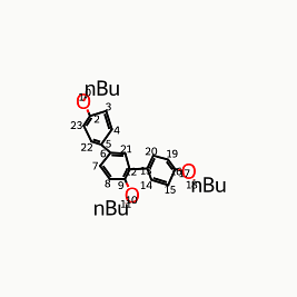 CCCCOc1ccc(-c2ccc(OCCCC)c(-c3ccc(OCCCC)cc3)c2)cc1